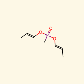 CC=COP(C)(=O)OC=CC